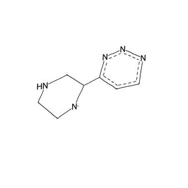 c1cc(C2CNCC[N]2)nnn1